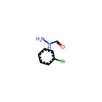 Brc1ccccc1.NNC=O